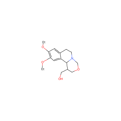 CCOc1cc2c(cc1OCC)C1C(CO)COCN1CC2